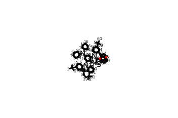 CC(C)(C)c1ccc(N2c3cc(N(c4ccccc4)c4ccccc4)cc4c3B(c3ccc5c(c32)C(C)(C)CCC5(C)C)c2sc3ccccc3c2N4c2ccc(C(C)(C)C)cc2-c2ccccc2)cc1